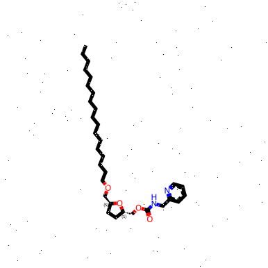 CCCCCCCCCCCCCCCCCCOC[C@@H]1CC[C@@H](COC(=O)NCc2ccccn2)O1